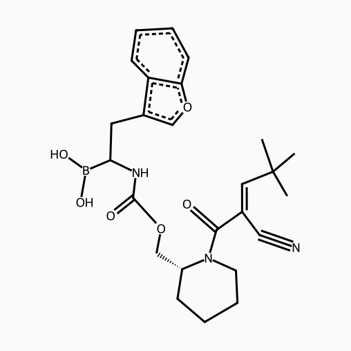 CC(C)(C)C=C(C#N)C(=O)N1CCCC[C@@H]1COC(=O)NC(Cc1coc2ccccc12)B(O)O